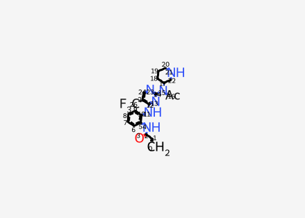 C=CC(=O)Nc1ccccc1Nc1nc(N(C(C)=O)[C@H]2CCCNC2)ncc1C(F)(F)F